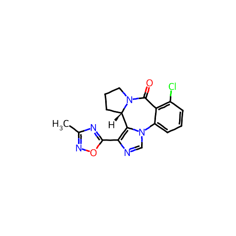 Cc1noc(-c2ncn3c2[C@@H]2CCCN2C(=O)c2c(Cl)cccc2-3)n1